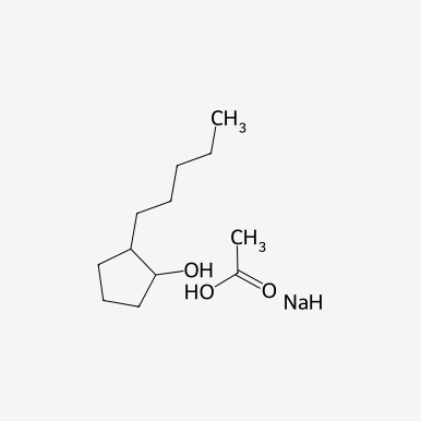 CC(=O)O.CCCCCC1CCCC1O.[NaH]